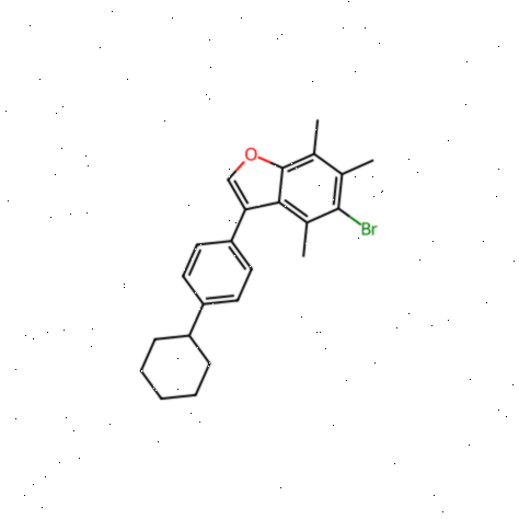 Cc1c(Br)c(C)c2c(-c3ccc(C4CCCCC4)cc3)coc2c1C